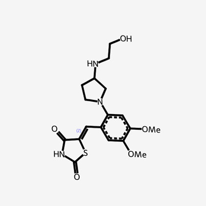 COc1cc(/C=C2\SC(=O)NC2=O)c(N2CCC(NCCO)C2)cc1OC